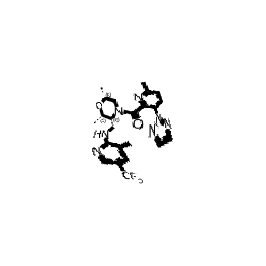 Cc1ccc(-n2nccn2)c(C(=O)N2C[C@@H](C)O[C@@H](C)[C@H]2CNc2ncc(C(F)(F)F)cc2C)n1